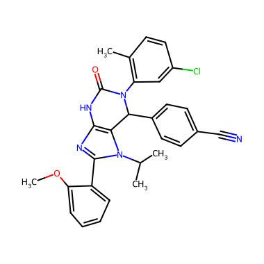 COc1ccccc1-c1nc2c(n1C(C)C)C(c1ccc(C#N)cc1)N(c1cc(Cl)ccc1C)C(=O)N2